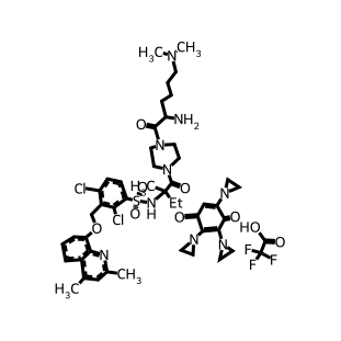 CCC(C)(NS(=O)(=O)c1ccc(Cl)c(COc2cccc3c(C)cc(C)nc23)c1Cl)C(=O)N1CCN(C(=O)C(N)CCCCN(C)C)CC1.O=C(O)C(F)(F)F.O=C1C=C(N2CC2)C(=O)C(N2CC2)=C1N1CC1